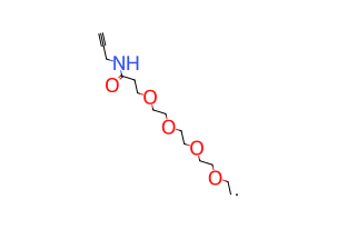 C#CCNC(=O)CCOCCOCCOCCOC[CH2]